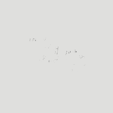 CC(=O)N[C@@H](Cc1c(Cl)[nH]c2ccccc12)C(=O)N[C@@H](CCC(=O)C=N)C(=O)OC(C)C